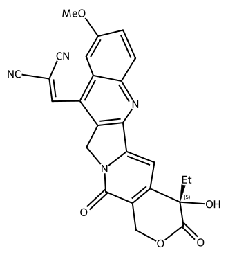 CC[C@@]1(O)C(=O)OCc2c1cc1n(c2=O)Cc2c-1nc1ccc(OC)cc1c2C=C(C#N)C#N